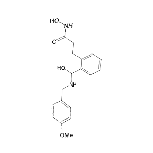 COc1ccc(CNC(O)c2ccccc2CCC(=O)NO)cc1